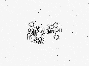 CC(=O)O[C@H]1C(=O)[C@@]2(C)[C@H]([C@H](OC(=O)c3ccccc3)[C@]3(O)C[C@H](CC(=O)[C@H](O)[C@@H](NC(O)c4ccccc4)c4ccccc4)C(C)=C1C3(C)C)[C@]1(OC(C)=O)CO[C@@H]1C[C@@H]2O